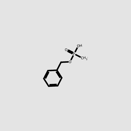 [CH2]P(=O)(O)OCc1ccccc1